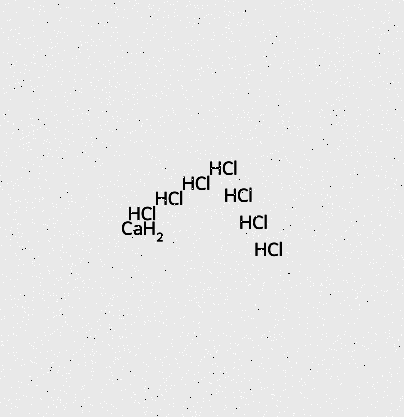 Cl.Cl.Cl.Cl.Cl.Cl.Cl.[CaH2]